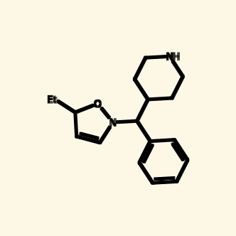 CCC1C=CN(C(c2ccccc2)C2CCNCC2)O1